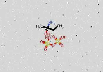 CCC(C)(N)O.O=S(=O)(O)OS(=O)(=O)O